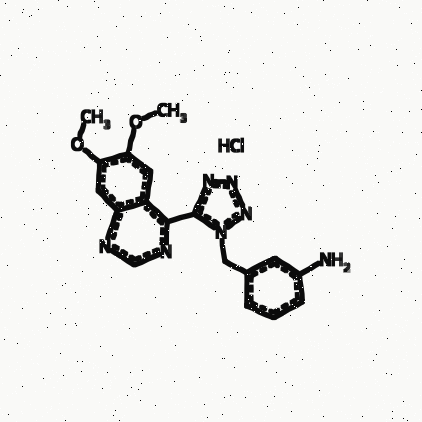 COc1cc2ncnc(-c3nnnn3Cc3cccc(N)c3)c2cc1OC.Cl